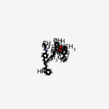 COC(=O)/C=C/c1ccc(CN(CCOCCC(=O)N[C@H](C(=O)N2C[C@H](O)CC2[C@H](O)N[C@@H](C)c2ccc(-c3scnc3C)cc2)C(C)(C)C)CCc2c[nH]c3ccccc23)cc1